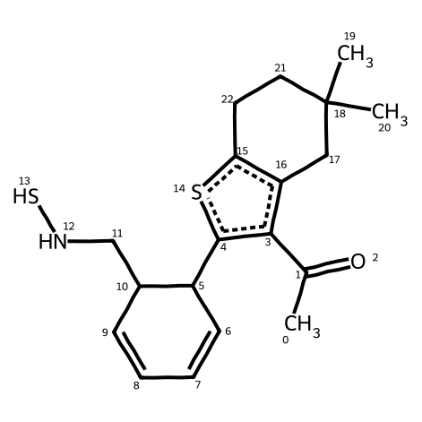 CC(=O)c1c(C2C=CC=CC2CNS)sc2c1CC(C)(C)CC2